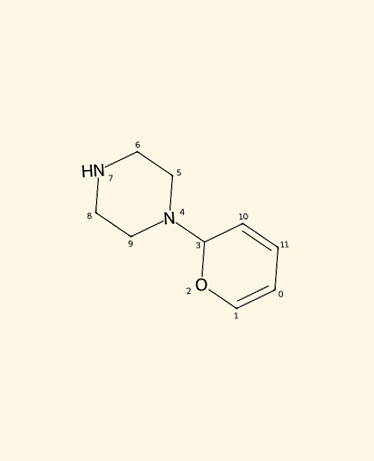 C1=COC(N2CCNCC2)C=C1